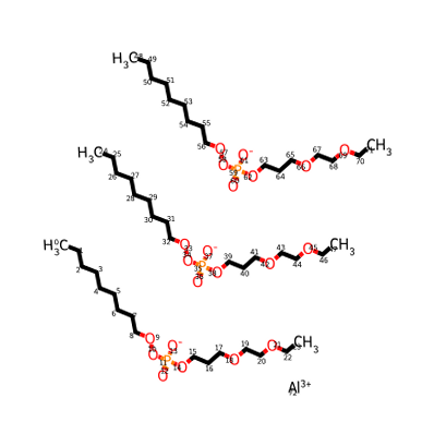 CCCCCCCCCOOP(=O)([O-])OCCCOCCOCC.CCCCCCCCCOOP(=O)([O-])OCCCOCCOCC.CCCCCCCCCOOP(=O)([O-])OCCCOCCOCC.[Al+3]